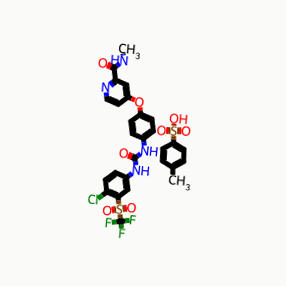 CNC(=O)c1cc(Oc2ccc(NC(=O)Nc3ccc(Cl)c(S(=O)(=O)C(F)(F)F)c3)cc2)ccn1.Cc1ccc(S(=O)(=O)O)cc1